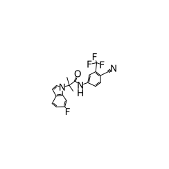 CC(C)(C(=O)Nc1ccc(C#N)c(C(F)(F)F)c1)n1ccc2ccc(F)cc21